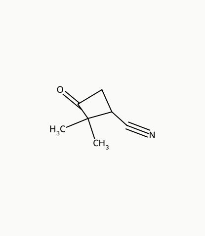 CC1(C)C(=O)CC1C#N